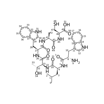 CC(C)C[C@H](NC(=O)[C@@H](N)Cc1c[nH]c2ccccc12)C(=O)N[C@H](C(=O)N[C@@H](Cc1c[nH]c2ccccc12)C(=O)N[C@@H](C)C(=O)N[C@@H](CS)C(=O)O)[C@@H](C)O